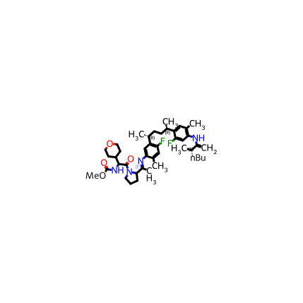 C=C(Nc1cc(F)c([C@H](C)CC[C@@H](C)c2cc(/N=C(\C)C3CCCN3C(=O)C(NC(=O)OC)C3CCOCC3)c(C)cc2F)cc1C)[C@@H](C)CCCC